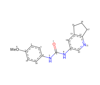 COc1ccc(NC(=O)Nc2cnc3c(c2)CCC3)cc1